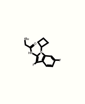 CC(C)(C)CC(=O)Nc1c(F)c2ccc(F)cc2n1C1CCC1